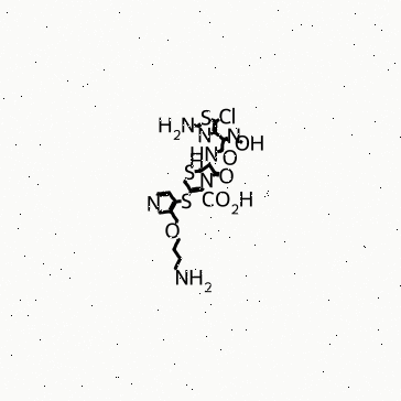 NCCCCOCc1cnccc1SC1=C(C(=O)O)N2C(=O)[C@@H](NC(=O)/C(=N\O)c3nc(N)sc3Cl)[C@@H]2SC1